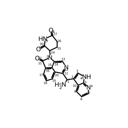 NC(c1c[nH]c2ncccc12)c1ncc2c3c(cccc13)C(=O)N2C1CCC(=O)NC1=O